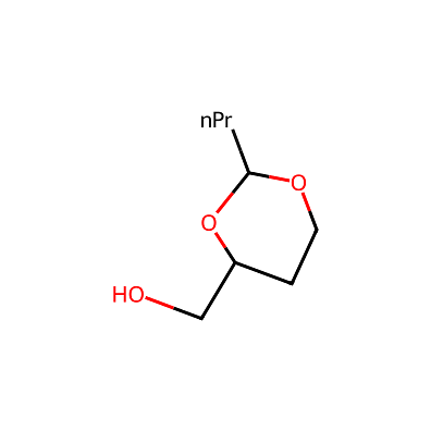 CCCC1OCCC(CO)O1